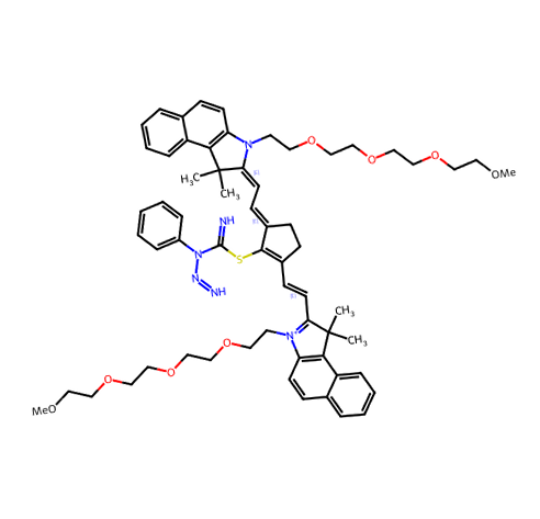 COCCOCCOCCOCCN1/C(=C/C=C2\CCC(/C=C/C3=[N+](CCOCCOCCOCCOC)c4ccc5ccccc5c4C3(C)C)=C2SC(=N)N(N=N)c2ccccc2)C(C)(C)c2c1ccc1ccccc21